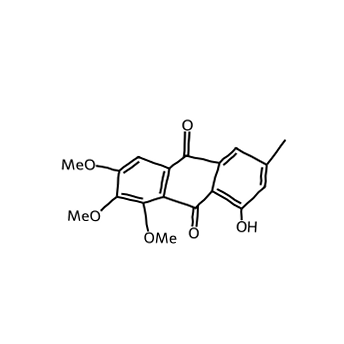 COc1cc2c(c(OC)c1OC)C(=O)c1c(O)cc(C)cc1C2=O